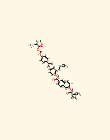 C=C(C)C(=O)OCOc1ccc(C(=O)Oc2ccc(OC(=O)c3ccc4cc(OC(=O)C(=C)C)ccc4c3)c(CCC)c2)cc1